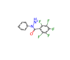 NN(C(=O)c1c(F)c(F)c(F)c(F)c1F)c1ccccc1